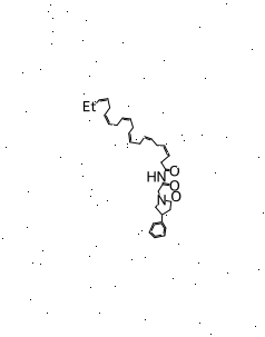 CC/C=C\C/C=C\C/C=C\C/C=C\C/C=C\C/C=C\CC(=O)NC(=O)CN1CC(c2ccccc2)CC1=O